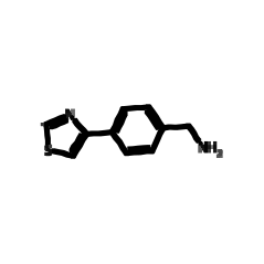 NCc1ccc(-c2cs[c]n2)cc1